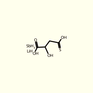 O=C(O)C(O)CC(O)=S.[LiH].[SbH3]